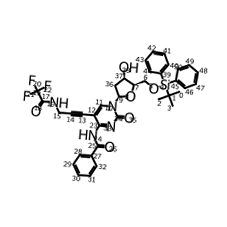 CC(C)(C)[Si](OC[C@H]1O[C@@H](n2cc(C#CCNC(=O)C(F)(F)F)c(NC(=O)c3ccccc3)nc2=O)C[C@H]1O)(c1ccccc1)c1ccccc1